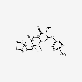 CCCN(C(=O)Oc1ccc([N+](=O)[O-])cc1)C(=O)[C@@H]1C[C@@H]2CC3(CC[C@H]2N(C)C1)OCCO3